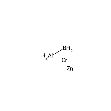 [BH2][AlH2].[Cr].[Zn]